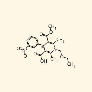 CCOCN1C(C)=C(C(=O)O)[C@@H](c2cccc([N+](=O)[O-])c2)C(C(=O)OC)=C1C